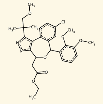 CCOC(=O)CC1OC(c2cccc(OC)c2OC)c2cc(Cl)ccc2-n2c1nnc2C(C)(C)COC